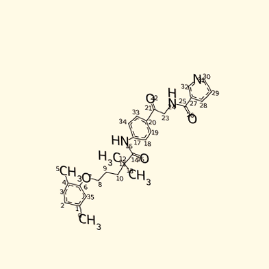 Cc1ccc(C)c(OCCCC(C)(C)C(=O)Nc2ccc(C(=O)CNC(=O)c3cccnc3)cc2)c1